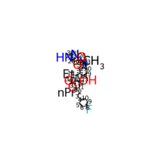 CCCC1(CCc2ccc(F)cc2)CC(O)=C(C(CC)c2cccc(N(C)S(=O)(=O)c3c[nH]cn3)c2)C(=O)O1